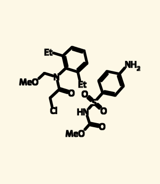 CCc1cccc(CC)c1N(COC)C(=O)CCl.COC(=O)NS(=O)(=O)c1ccc(N)cc1